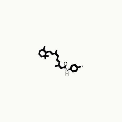 [CH2]c1ccc(NC(=O)C=C(C)C=CC=C(C)C=CC2=C(C)CCCC2(C)C)cc1